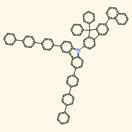 c1ccc(-c2ccc(-c3ccc(-c4ccc5c(c4)c4cc(-c6ccc(-c7ccc(-c8ccccc8)cc7)cc6)ccc4n5-c4ccc5c(c4)C(c4ccccc4)(c4ccccc4)c4cc(-c6cccc7ccccc67)ccc4-5)cc3)cc2)cc1